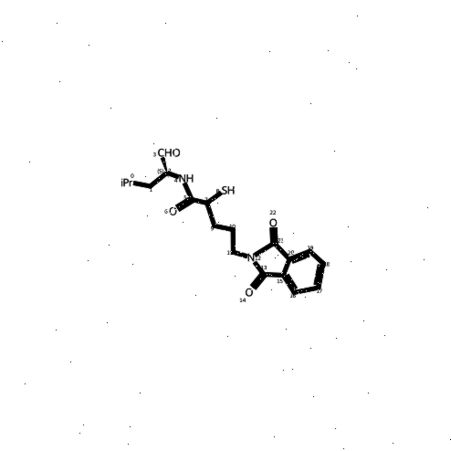 CC(C)C[C@@H](C=O)NC(=O)C(S)CCCN1C(=O)c2ccccc2C1=O